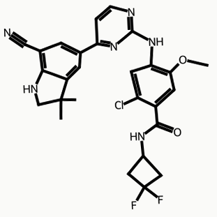 COc1cc(C(=O)NC2CC(F)(F)C2)c(Cl)cc1Nc1nccc(-c2cc(C#N)c3c(c2)C(C)(C)CN3)n1